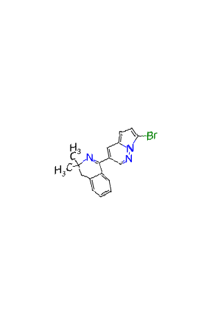 CC1(C)Cc2ccccc2C(c2cnn3c(Br)ccc3c2)=N1